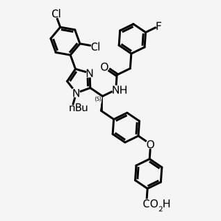 CCCCn1cc(-c2ccc(Cl)cc2Cl)nc1[C@H](Cc1ccc(Oc2ccc(C(=O)O)cc2)cc1)NC(=O)Cc1cccc(F)c1